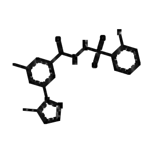 Cc1cc(C(=O)NNS(=O)(=O)c2ccccc2F)cc(-n2nccc2C)c1